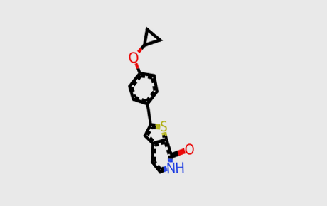 O=c1[nH]ccc2cc(-c3ccc(OC4CC4)cc3)sc12